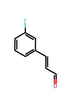 O=[C]C=Cc1cccc(F)c1